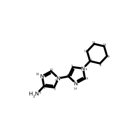 Nc1cn(-c2cn(C3CCCCC3)cn2)cn1